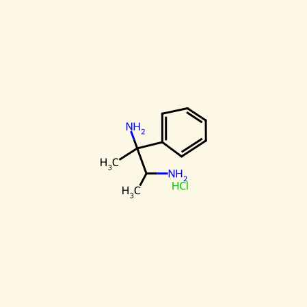 CC(N)C(C)(N)c1ccccc1.Cl